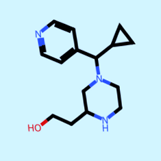 OCCC1CN(C(c2ccncc2)C2CC2)CCN1